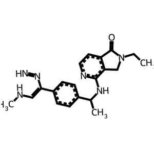 CCN1Cc2c(ccnc2NC(C)c2ccc(/C(=C/NC)N=N)cc2)C1=O